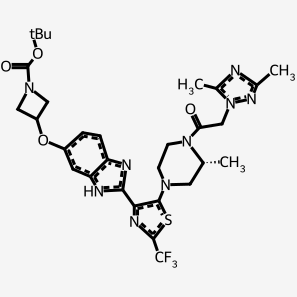 Cc1nc(C)n(CC(=O)N2CCN(c3sc(C(F)(F)F)nc3-c3nc4ccc(OC5CN(C(=O)OC(C)(C)C)C5)cc4[nH]3)C[C@H]2C)n1